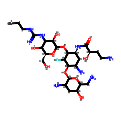 CC(C)(C)CCNC(=N)NC1C(O)[C@@H](CO)OC(OC2C(F)[C@H](O[C@H]3OC(CN)[C@@H](O)CC3N)C(N)C[C@H]2NC(=O)[C@@H](O)CCN)[C@@H]1O